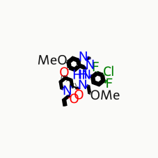 C=CC(=O)N1CC[C@H](Oc2cc3c(Nc4ccc(F)c(Cl)c4F)ncnc3cc2OC)C[C@H]1C(=O)NCCOC